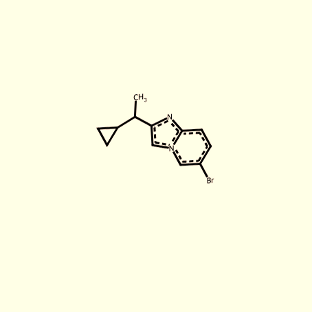 CC(c1cn2cc(Br)ccc2n1)C1CC1